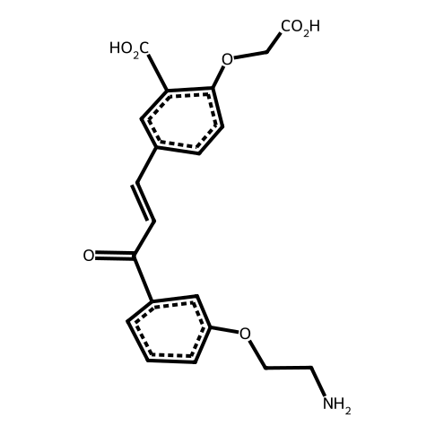 NCCOc1cccc(C(=O)C=Cc2ccc(OCC(=O)O)c(C(=O)O)c2)c1